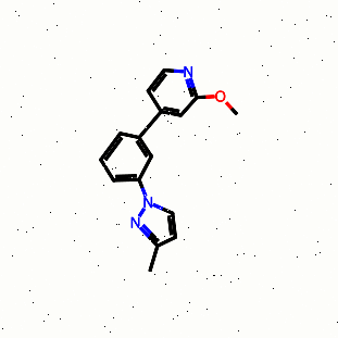 COc1cc(-c2cccc(-n3ccc(C)n3)c2)ccn1